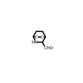 O=[C]C1NC2CCC1CC2